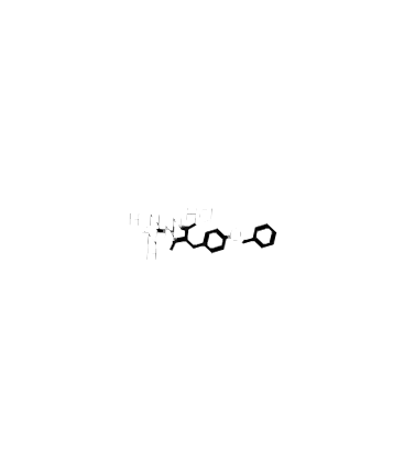 Cc1nn(C(=N)N)c(C)c1Cc1ccc(OCc2ccccc2)cc1.Cl